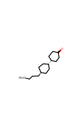 COCCC[C@H]1CC[C@H](C2CCC(=O)CC2)CC1